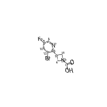 O=C(O)N1CC(c2ncc(F)cc2Br)C1